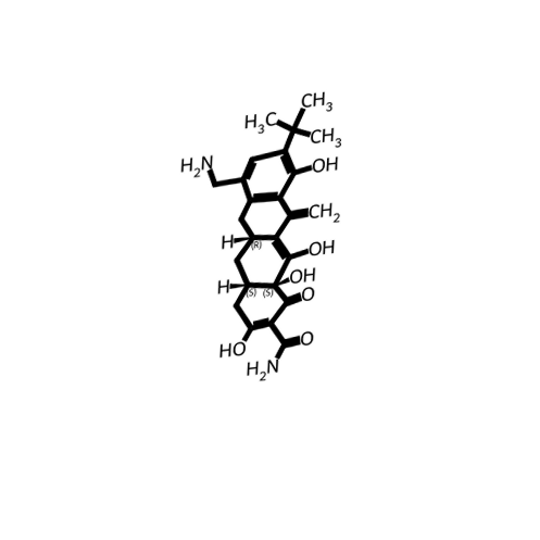 C=C1C2=C(O)[C@]3(O)C(=O)C(C(N)=O)=C(O)C[C@@H]3C[C@@H]2Cc2c(CN)cc(C(C)(C)C)c(O)c21